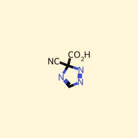 N#CC1(C(=O)O)N=CN=N1